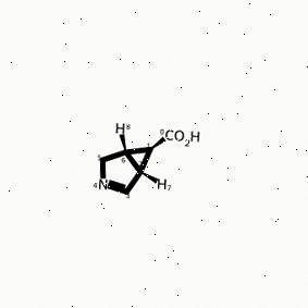 O=C(O)[C@H]1[C@@H]2C=NC[C@@H]21